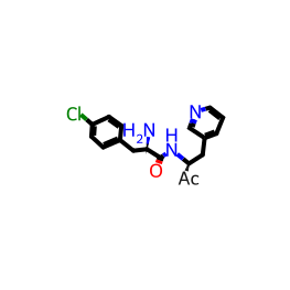 CC(=O)[C@H](Cc1cccnc1)NC(=O)[C@H](N)Cc1ccc(Cl)cc1